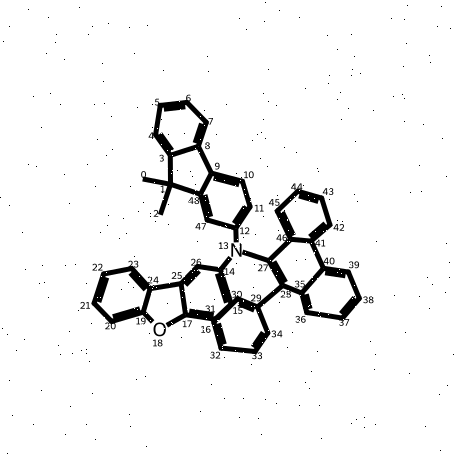 CC1(C)c2ccccc2-c2ccc(N(c3ccc4oc5ccccc5c4c3)c3c(-c4ccccc4)c4ccccc4c4ccccc34)cc21